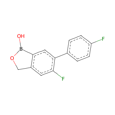 OB1OCc2cc(F)c(-c3ccc(F)cc3)cc21